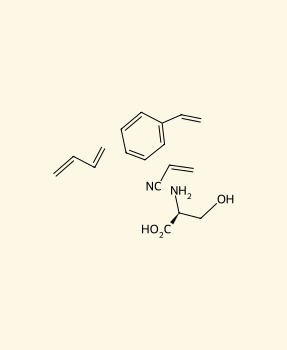 C=CC#N.C=CC=C.C=Cc1ccccc1.N[C@@H](CO)C(=O)O